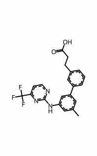 Cc1cc(Nc2nccc(C(F)(F)F)n2)cc(-c2cccc(CCC(=O)O)c2)c1